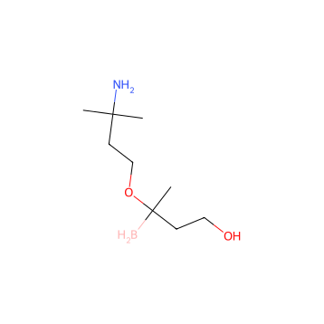 BC(C)(CCO)OCCC(C)(C)N